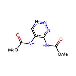 COC(=O)Nc1cnnnc1NC(=O)OC